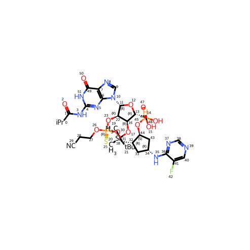 CC(C)C(=O)Nc1nc2c(ncn2[C@@H]2O[C@H](CO)[C@@H](O[Si](C)(C)C(C)(C)C)[C@H]2O[P@@](=S)(OCCC#N)OC[C@H]2C[C@@H](Nc3ncncc3F)C[C@@H]2O[PH](=O)O)c(=O)[nH]1